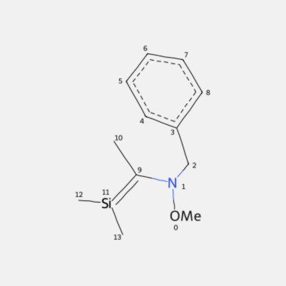 CON(Cc1ccccc1)C(C)=[Si](C)C